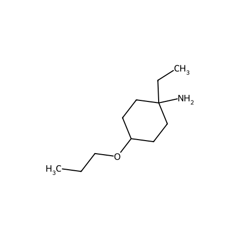 CCCOC1CCC(N)(CC)CC1